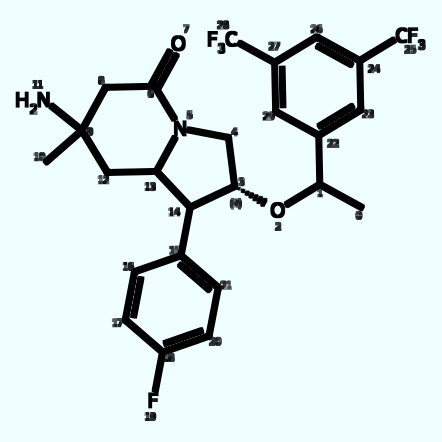 CC(O[C@H]1CN2C(=O)CC(C)(N)CC2C1c1ccc(F)cc1)c1cc(C(F)(F)F)cc(C(F)(F)F)c1